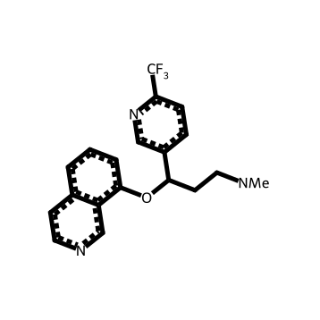 CNCCC(Oc1cccc2ccncc12)c1ccc(C(F)(F)F)nc1